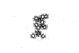 c1ccc(-c2nc(-c3ccccc3)nc(-c3cc(-n4c5ccccc5c5cc6c7c8ccccc8ccc7n(-c7ccccn7)c6cc54)c4ccccc4c3)n2)cc1